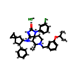 CC(C)Oc1cccc(CN2CC[C@@]3(C[C@@H]2C)C(N[C@@H]2CC4(CC4)C[C@H]2c2ccccc2)=NC(=O)N3c2cccc(F)c2)c1.Cl